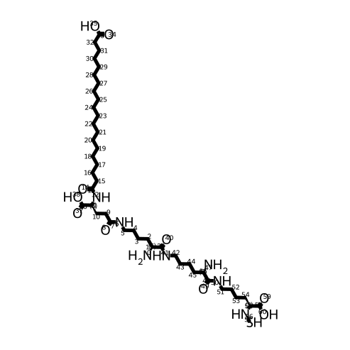 N[C@@H](CCCCNC(=O)CC[C@H](NC(=O)CCCCCCCCCCCCCCCCCCC(=O)O)C(=O)O)C(=O)NCCCC[C@H](N)C(=O)NCCCC[C@H](NS)C(=O)O